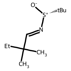 CCC(C)(C)C=N[S@+]([O-])C(C)(C)C